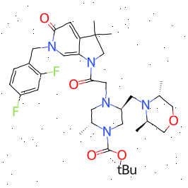 C[C@@H]1CN(CC(=O)N2CC(C)(C)c3cc(=O)n(Cc4ccc(F)cc4F)cc32)[C@@H](CN2[C@H](C)COC[C@H]2C)CN1C(=O)OC(C)(C)C